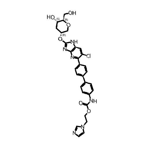 O=C(Nc1ccc(-c2ccc(-c3nc4nc(O[C@H]5CO[C@H](CO)[C@@H](O)C5)[nH]c4cc3Cl)cc2)cc1)OCCn1ccnc1